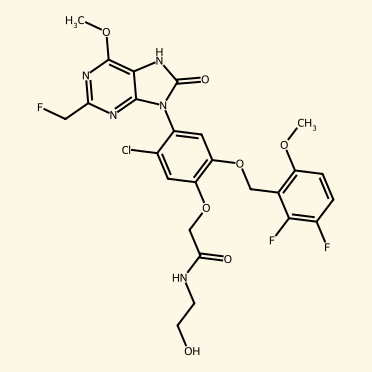 COc1ccc(F)c(F)c1COc1cc(-n2c(=O)[nH]c3c(OC)nc(CF)nc32)c(Cl)cc1OCC(=O)NCCO